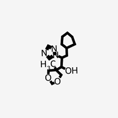 CC1(C(O)C(CC2CCCCC2)n2cncn2)COCOC1